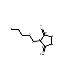 CCCCCC1C(=O)CCC1=O